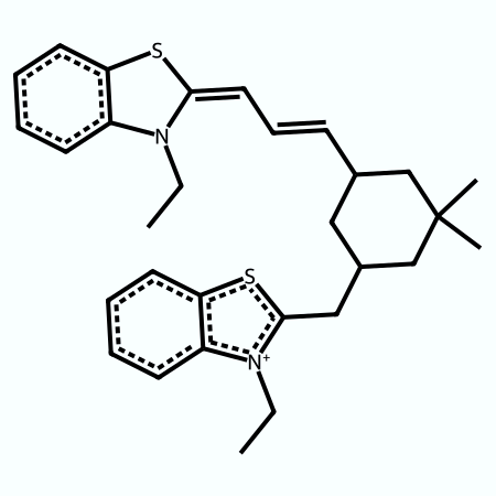 CCN1C(=CC=CC2CC(Cc3sc4ccccc4[n+]3CC)CC(C)(C)C2)Sc2ccccc21